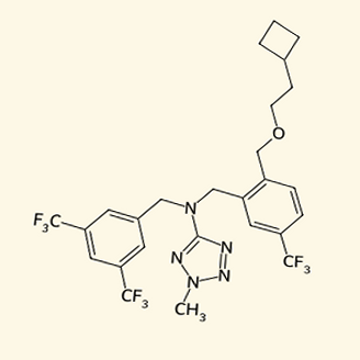 Cn1nnc(N(Cc2cc(C(F)(F)F)cc(C(F)(F)F)c2)Cc2cc(C(F)(F)F)ccc2COCCC2CCC2)n1